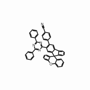 N#Cc1ccc(-c2cc3c(cc2-c2nc(-c4ccccc4)nc(-c4ccccc4)n2)C2(c4ccccc4Oc4ccccc42)c2ccccc2-3)cc1